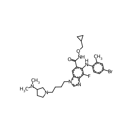 Cc1cc(Br)ccc1Nc1c(C(=O)NOCC2CC2)cc2c(ncn2CCCCN2CCC(N(C)C)C2)c1F